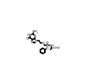 C[C@@H](C=O)NP(=O)(COCCn1cnc2c(=O)[nH]c(N)nc21)Oc1ccccc1